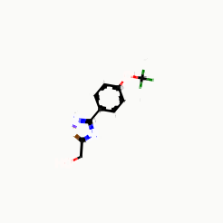 OCc1nc(-c2ccc(OC(F)(F)F)cc2)ns1